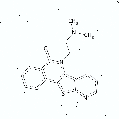 CN(C)CCn1c(=O)c2ccccc2c2sc3ncccc3c21